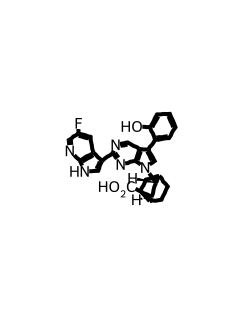 O=C(O)[C@@H]1C2CCC(CC2)[C@H]1n1cc(-c2ccccc2O)c2cnc(-c3c[nH]c4ncc(F)cc34)nc21